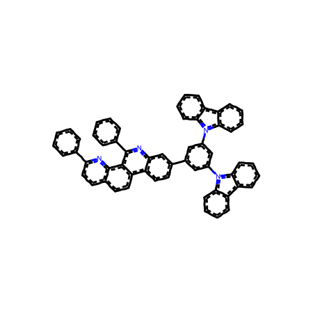 c1ccc(-c2ccc3ccc4c5ccc(-c6cc(-n7c8ccccc8c8ccccc87)cc(-n7c8ccccc8c8ccccc87)c6)cc5nc(-c5ccccc5)c4c3n2)cc1